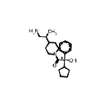 CC(CN)C1CCN(C(=O)[C@](O)(c2ccccc2)C2CCCC2)CC1